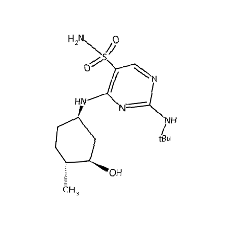 C[C@@H]1CC[C@@H](Nc2nc(NC(C)(C)C)ncc2S(N)(=O)=O)C[C@H]1O